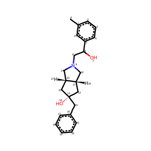 Cc1cccc(C(O)CN2C[C@@H]3C[C@@](O)(Cc4ccccc4)C[C@@H]3C2)c1